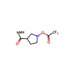 CNC(=O)C1CCN(OC(=O)C(F)(F)F)C1